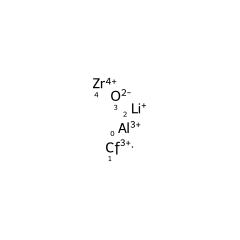 [Al+3].[Cf+3].[Li+].[O-2].[Zr+4]